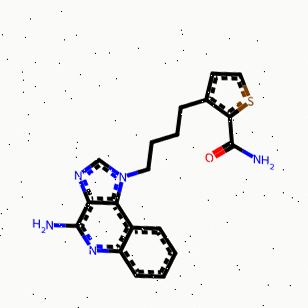 NC(=O)c1sccc1CCCCn1cnc2c(N)nc3ccccc3c21